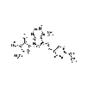 [CH2][C@H]1O[C@@H](n2nc(SCc3ccc(OC(F)(F)F)cc3)c3c(N)ncnc32)[C@H](O)[C@@H]1O